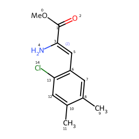 COC(=O)/C(N)=C/c1cc(C)c(C)cc1Cl